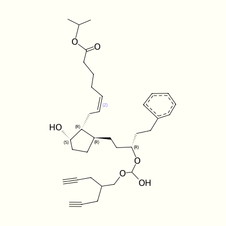 C#CCC(CC#C)COC(O)O[C@@H](CCc1ccccc1)CC[C@H]1CC[C@H](O)[C@@H]1C/C=C\CCCC(=O)OC(C)C